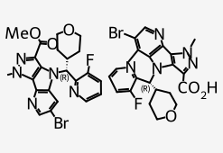 COC(=O)c1nn(C)c2c3ncc(Br)cc3n([C@@H](c3ncccc3F)C3CCOCC3)c12.Cc1c(Br)cnc2c3c(c(C(=O)O)nn3C)n([C@@H](c3ncccc3F)C3CCOCC3)c12